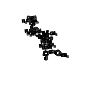 CC(C)C1=C2[C@H]3CC[C@@H]4[C@@]5(C)CC[C@H](OC(=O)CC(C)(C)C(=O)O)C(C)(C)[C@@H]5CC[C@@]4(C)[C@]3(C)CC[C@@]2(NC(=O)C(C)(C)NC(=O)c2ccc(Cl)cc2OCCN2CCN(C)CC2)CC1=O